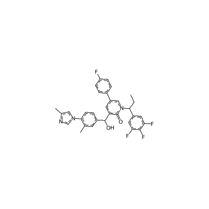 CCC(c1cc(F)c(F)c(F)c1)n1cc(-c2ccc(F)cc2)cc(C(O)c2ccc(-n3cnc(C)c3)c(C)c2)c1=O